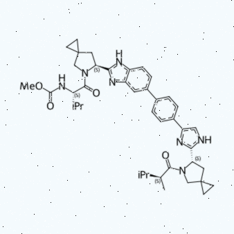 COC(=O)N[C@H](C(=O)N1CC2(CC2)C[C@H]1c1nc2cc(-c3ccc(-c4c[nH]c([C@@H]5CC6(CC6)CN5C(=O)[C@@H](C)C(C)C)n4)cc3)ccc2[nH]1)C(C)C